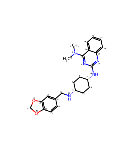 CN(C)c1nc(N[C@H]2CC[C@@H](NCc3ccc4c(c3)OCO4)CC2)nc2ccccc12